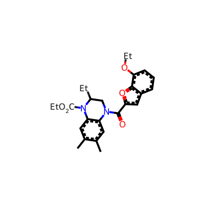 CCOC(=O)N1c2cc(C)c(C)cc2N(C(=O)c2cc3cccc(OCC)c3o2)CC1CC